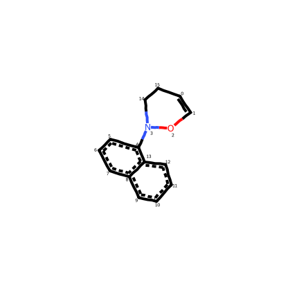 C1=CON(c2cccc3ccccc23)CC1